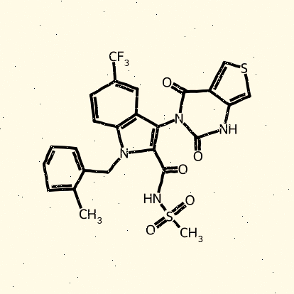 Cc1ccccc1Cn1c(C(=O)NS(C)(=O)=O)c(-n2c(=O)[nH]c3cscc3c2=O)c2cc(C(F)(F)F)ccc21